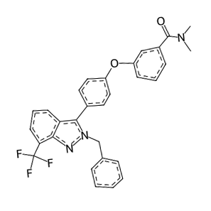 CN(C)C(=O)c1cccc(Oc2ccc(-c3c4cccc(C(F)(F)F)c4nn3Cc3ccccc3)cc2)c1